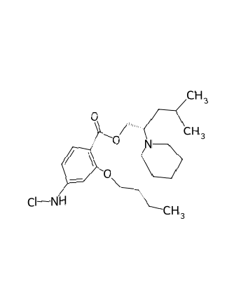 CCCCOc1cc(NCl)ccc1C(=O)OC[C@H](CC(C)C)N1CCCCC1